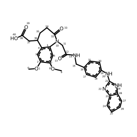 COc1cc2c(cc1OC)N(CC(=O)NCc1ccc(Nc3nc4ccccc4[nH]3)cc1)C(=O)CCC2CC(=O)O